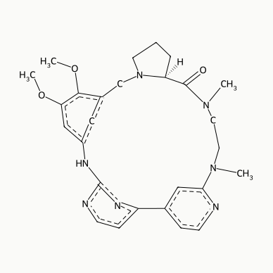 COc1cc2cc(c1OC)CN1CCC[C@H]1C(=O)N(C)CCN(C)c1cc(ccn1)-c1ccnc(n1)N2